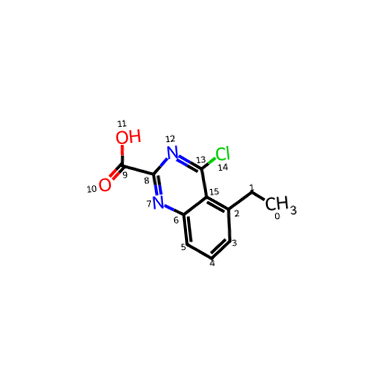 CCc1cccc2nc(C(=O)O)nc(Cl)c12